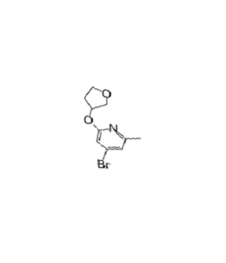 Cc1cc(Br)cc(OC2CCOC2)n1